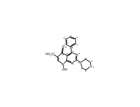 O=C(O)c1cn(O)c2nc(N3CCOCC3)nc(-c3ccccc3)c2c1=O